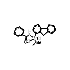 C[SiH](C)[Zr]([Cl])([Cl])([NH]C(=O)c1ccccc1)[c]1cccc2c1Cc1ccccc1-2